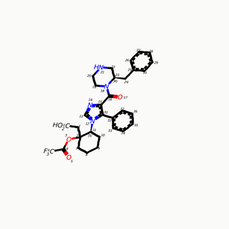 O=C(O)CC1(OC(=O)C(F)(F)F)CCCC[C@@H]1n1cnc(C(=O)N2CCNC[C@H]2Cc2ccccc2)c1-c1ccccc1